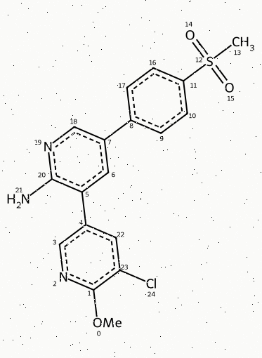 COc1ncc(-c2cc(-c3ccc(S(C)(=O)=O)cc3)cnc2N)cc1Cl